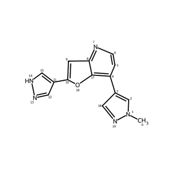 Cn1cc(-c2ccnc3cc(-c4cn[nH]c4)oc23)cn1